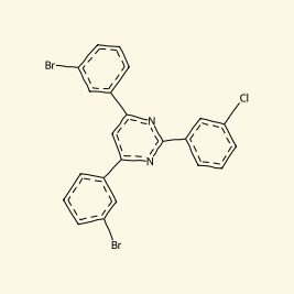 Clc1cccc(-c2nc(-c3cccc(Br)c3)cc(-c3cccc(Br)c3)n2)c1